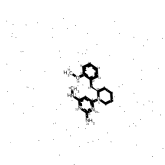 CNc1cc(N2CCCC[C@@H]2Cc2ccccc2OC)nc(N)n1